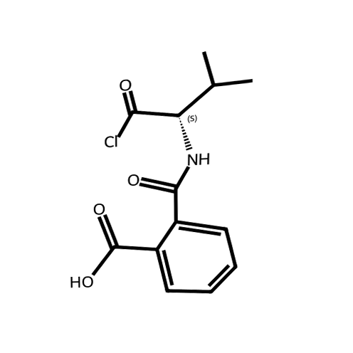 CC(C)[C@H](NC(=O)c1ccccc1C(=O)O)C(=O)Cl